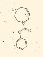 O=C(Oc1ccccc1)N1CC=CCNCC1